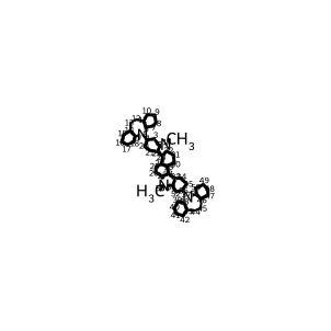 Cn1c2cc(N3c4ccccc4CCc4ccccc43)ccc2c2c3ccc4c(c3ccc21)c1ccc(N2c3ccccc3CCc3ccccc32)cc1n4C